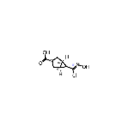 O=C(O)N1C[C@@H]2C(/C(Cl)=N/O)[C@@H]2C1